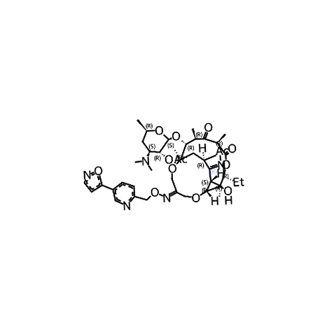 CC[C@H]1OC(=O)[C@H](C)C(=O)[C@H](C)[C@@H](O[C@@H]2O[C@H](C)C[C@H](N(C)C)[C@H]2OC(C)=O)[C@@]2(C)C[C@@H](C)/C(=N\C(C)=O)[C@H](C)[C@@H](OCC(=NOCc3ccc(-c4ccno4)cn3)CO2)[C@]1(C)O